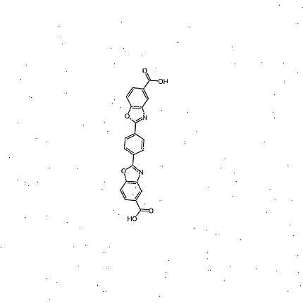 O=C(O)c1ccc2oc(-c3ccc(-c4nc5cc(C(=O)O)ccc5o4)cc3)nc2c1